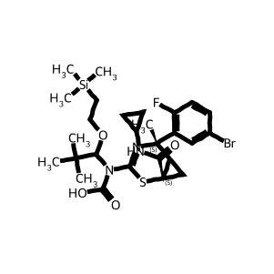 CC(C)(C)C(OCC[Si](C)(C)C)N(C(=O)O)C1=N[C@](C)(c2cc(Br)ccc2F)C2C[C@]2(C(=O)NC2CC2)S1